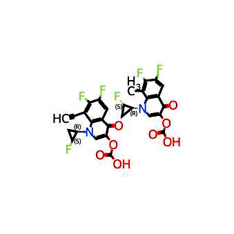 C#Cc1c(F)c(F)cc2c(=O)c(OC(=O)O)cn([C@@H]3C[C@@H]3F)c12.Cc1c(F)c(F)cc2c(=O)c(OC(=O)O)cn([C@@H]3C[C@@H]3F)c12